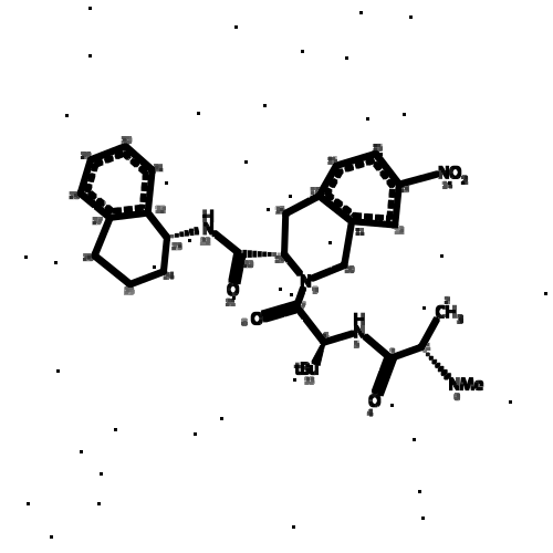 CN[C@@H](C)C(=O)N[C@H](C(=O)N1Cc2cc([N+](=O)[O-])ccc2C[C@H]1C(=O)N[C@@H]1CCCc2ccccc21)C(C)(C)C